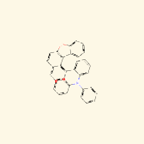 c1ccc(N(c2ccccc2)c2ccccc2-c2cccc3ccc4oc5ccccc5c4c23)cc1